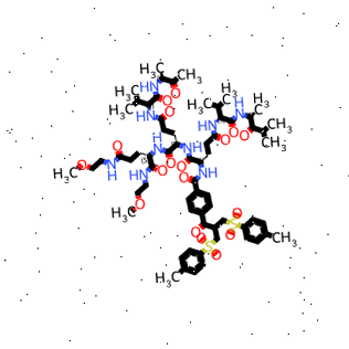 COCCNC(=O)CC[C@H](NC(=O)[C@H](CCC(=O)N[C@H](C(=O)N[C@@H](C)C(C)=O)C(C)C)NC(=O)[C@H](CCC(=O)N[C@H](C(=O)N[C@@H](C)C(=O)C(C)C)C(C)C)NC(=O)c1ccc(C(=O)C(CS(=O)(=O)c2ccc(C)cc2)CS(=O)(=O)c2ccc(C)cc2)cc1)C(=O)NCCOC